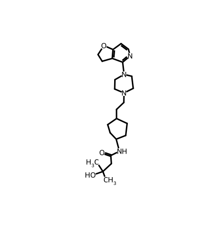 CC(C)(O)CC(=O)NC1CCC(CCN2CCN(c3nccc4c3CCO4)CC2)CC1